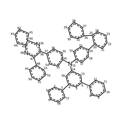 c1ccc(-c2cc(-c3ccccc3)cc(N(c3ccc(-c4ccccc4-c4ccccc4)cc3)c3ccc(-c4nc5ccccc5nc4-c4ccccc4)cc3)c2)cc1